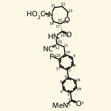 CNC(=O)c1ccc(-c2ccc(C[C@@H](C#N)NC(=O)[C@@H]3CN(C(=O)O)CCCO3)c(F)c2)cc1